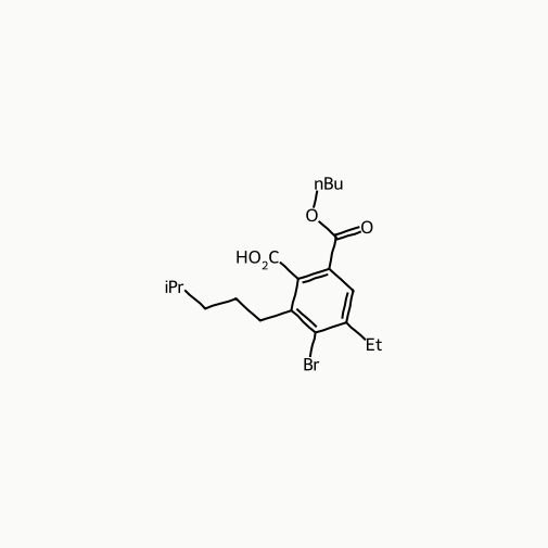 CCCCOC(=O)c1cc(CC)c(Br)c(CCCC(C)C)c1C(=O)O